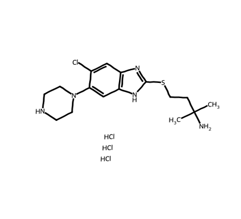 CC(C)(N)CCSc1nc2cc(Cl)c(N3CCNCC3)cc2[nH]1.Cl.Cl.Cl